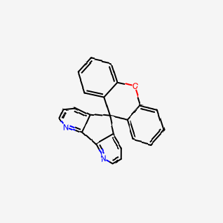 c1ccc2c(c1)Oc1ccccc1C21c2cccnc2-c2ncccc21